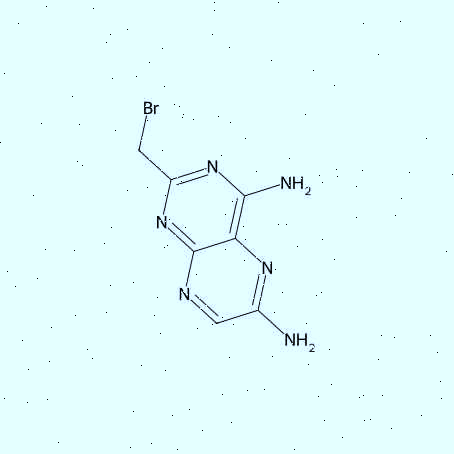 Nc1cnc2nc(CBr)nc(N)c2n1